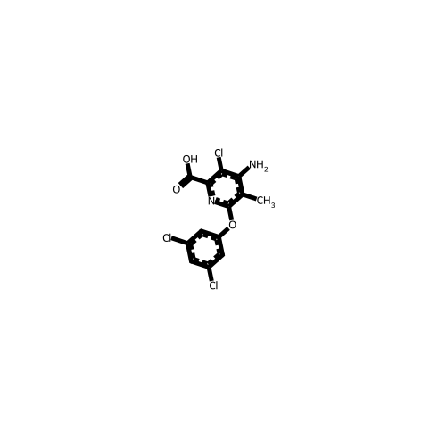 Cc1c(Oc2cc(Cl)cc(Cl)c2)nc(C(=O)O)c(Cl)c1N